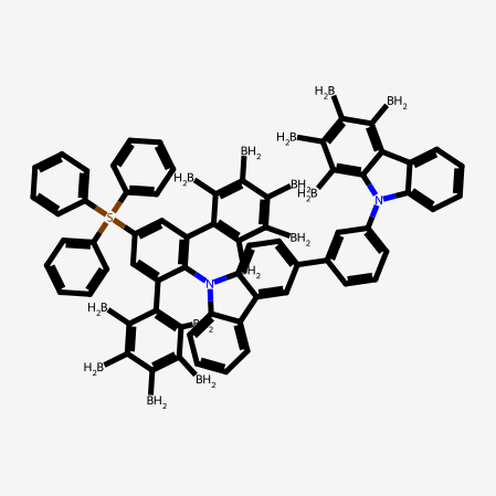 Bc1c(B)c(B)c(-c2cc(S(c3ccccc3)(c3ccccc3)c3ccccc3)cc(-c3c(B)c(B)c(B)c(B)c3B)c2-n2c3ccccc3c3cc(-c4cccc(-n5c6ccccc6c6c(B)c(B)c(B)c(B)c65)c4)ccc32)c(B)c1B